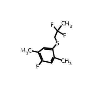 Cc1cc(SCC(C)(F)F)c(C)cc1F